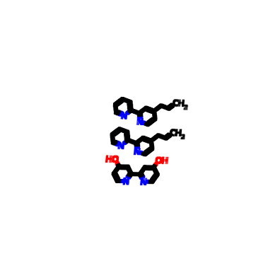 C=CCc1ccnc(-c2ccccn2)c1.C=CCc1ccnc(-c2ccccn2)c1.Oc1ccnc(-c2cc(O)ccn2)c1